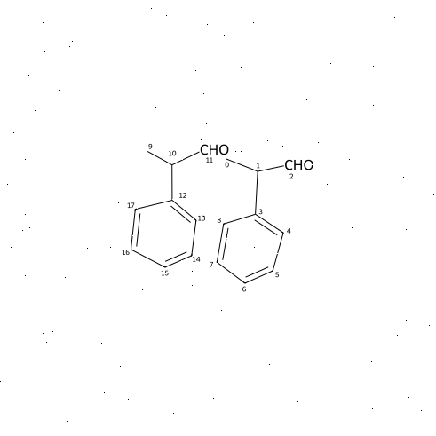 CC(C=O)c1ccccc1.CC(C=O)c1ccccc1